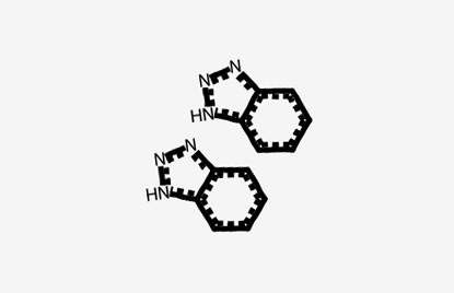 c1ccc2[nH]nnc2c1.c1ccc2[nH]nnc2c1